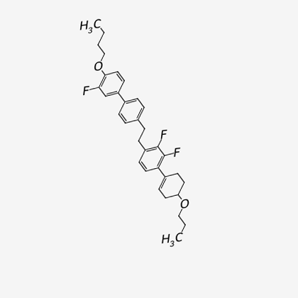 CCCCOc1ccc(-c2ccc(CCc3ccc(C4=CCC(OCCC)CC4)c(F)c3F)cc2)cc1F